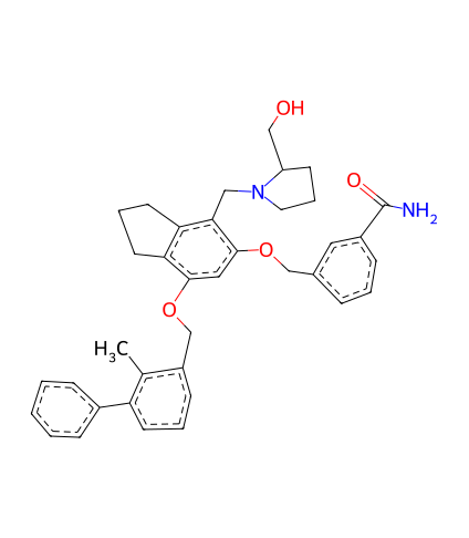 Cc1c(COc2cc(OCc3cccc(C(N)=O)c3)c(CN3CCCC3CO)c3c2CCC3)cccc1-c1ccccc1